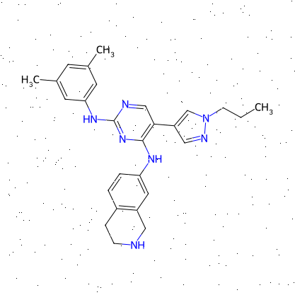 CCCn1cc(-c2cnc(Nc3cc(C)cc(C)c3)nc2Nc2ccc3c(c2)CNCC3)cn1